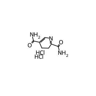 Cl.Cl.NC(=O)C1=CN=C(C(N)=O)CC1